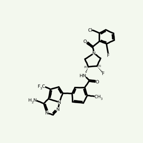 Cc1ccc(-c2cc(C(F)(F)F)c3c(N)ncnn23)cc1C(=O)N[C@@H]1CN(C(=O)c2c(F)cccc2Cl)C[C@@H]1F